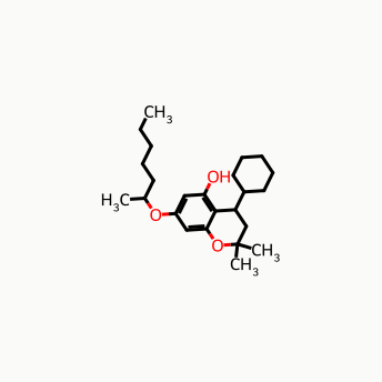 CCCCCC(C)Oc1cc(O)c2c(c1)OC(C)(C)CC2C1CCCCC1